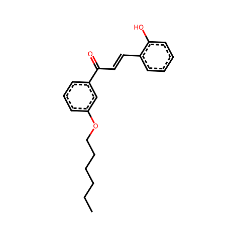 CCCCCCOc1cccc(C(=O)/C=C/c2ccccc2O)c1